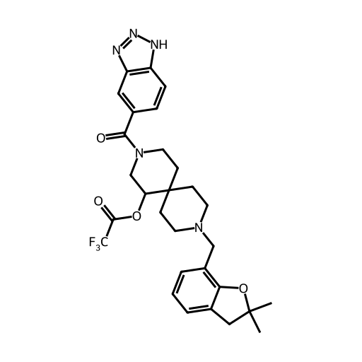 CC1(C)Cc2cccc(CN3CCC4(CC3)CCN(C(=O)c3ccc5[nH]nnc5c3)CC4OC(=O)C(F)(F)F)c2O1